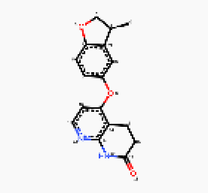 C[C@@H]1COc2ccc(Oc3ccnc4c3CCC(=O)N4)cc21